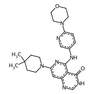 CC1(C)CCN(c2cc3nc[nH]c(=O)c3c(Nc3ccc(N4CCOCC4)nc3)n2)CC1